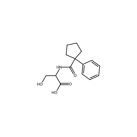 O=C(O)C(CO)NC(=O)C1(c2ccccc2)CCCC1